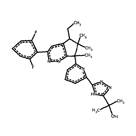 CCC1c2cc(-c3c(F)cccc3F)nnc2C(C)(c2cccc(-c3nnc(C(C)(C)O)[nH]3)n2)C1(C)C